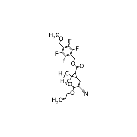 C=CCOC(=O)C(C#N)=CC1C(C(=O)OCc2c(F)c(F)c(COC)c(F)c2F)C1(C)C